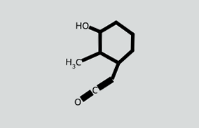 CC1C(O)CCCC1C=C=O